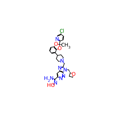 C[C@]1(c2ccc(Cl)cn2)Oc2cccc(C3CCN(Cc4nc5cc(/C(N)=N/O)nnc5n4C[C@@H]4CCO4)CC3)c2O1